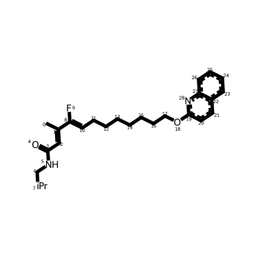 CC(=CC(=O)NCC(C)C)C(F)=CCCCCCCCOc1ccc2ccccc2n1